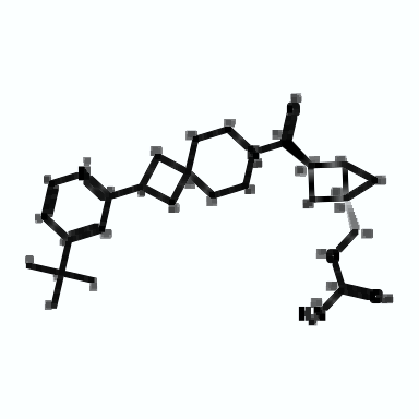 CC(C)(C)c1ccnc(C2CC3(CCN(C(=O)[C@@H]4C[C@]5(COC(N)=O)CC45)CC3)C2)c1